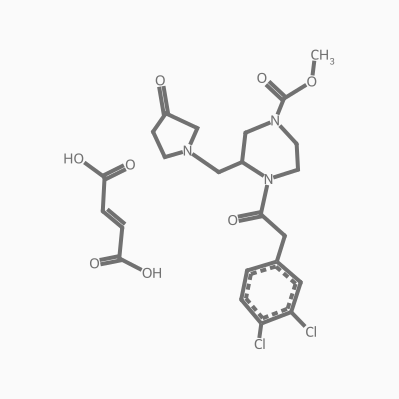 COC(=O)N1CCN(C(=O)Cc2ccc(Cl)c(Cl)c2)C(CN2CCC(=O)C2)C1.O=C(O)C=CC(=O)O